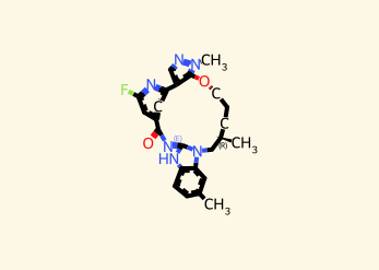 Cc1ccc2c(c1)N1C[C@H](C)CCCOc3c(cnn3C)-c3cc(cc(F)n3)C(=O)/N=C/1N2